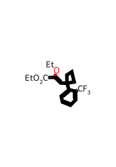 CCOC(=O)C(=CC1(c2ccccc2C(F)(F)F)CCC1)OCC